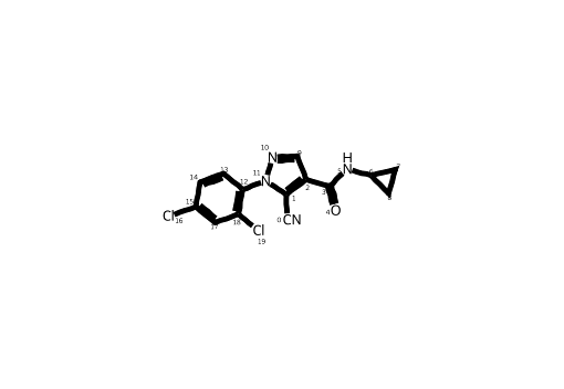 N#Cc1c(C(=O)NC2CC2)cnn1-c1ccc(Cl)cc1Cl